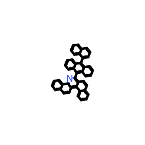 c1ccc2c(-c3c4ccccc4c(-c4nc5c6ccccc6ccc5c5c4ccc4ccccc45)c4ccccc34)cccc2c1